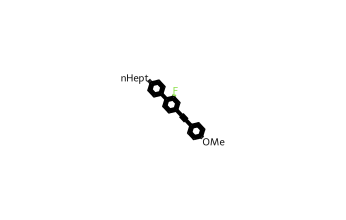 CCCCCCCc1ccc(-c2ccc(C#Cc3ccc(OC)cc3)cc2F)cc1